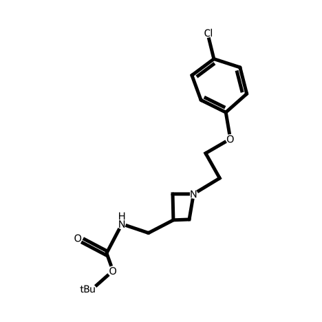 CC(C)(C)OC(=O)NCC1CN(CCOc2ccc(Cl)cc2)C1